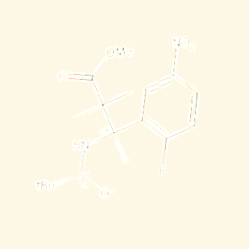 COC(=O)C(C)(C)[C@](C)(N[S@+]([O-])C(C)(C)C)c1cc([N+](=O)[O-])ccc1F